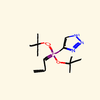 C=CC=P(OC(C)(C)C)(OC(C)(C)C)c1c[nH]nn1